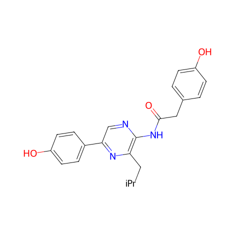 CC(C)Cc1nc(-c2ccc(O)cc2)cnc1NC(=O)Cc1ccc(O)cc1